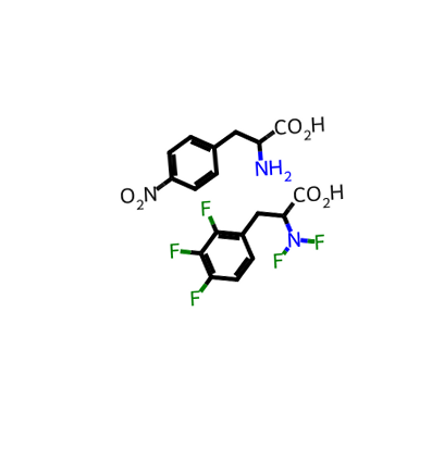 NC(Cc1ccc([N+](=O)[O-])cc1)C(=O)O.O=C(O)C(Cc1ccc(F)c(F)c1F)N(F)F